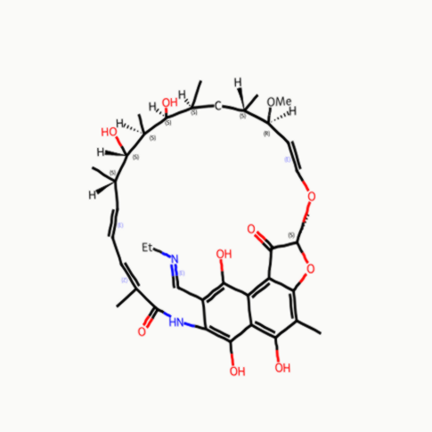 CC/N=C/c1c2c(O)c3c(O)c(C)c4c(c3c1O)C(=O)[C@@](C)(O/C=C/[C@H](OC)[C@@H](C)C[C@H](C)[C@H](O)[C@H](C)[C@@H](O)[C@@H](C)/C=C/C=C(/C)C(=O)N2)O4